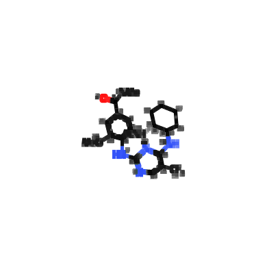 CNC(=O)c1ccc(Nc2ncc(C(F)(F)F)c(N[C@@H]3CCCC[C@H]3NC(C)=O)n2)c(OC)c1